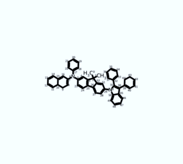 CC1(C)c2cc(N(C3=CCC4C=CC=CC4=C3)c3ccccc3)ccc2-c2ccc(-n3c(-c4ccccc4)c(C4=CC=CCC4)c4ccccc43)cc21